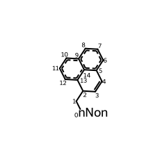 CCCCCCCCCCC1C=Cc2cccc3cccc1c23